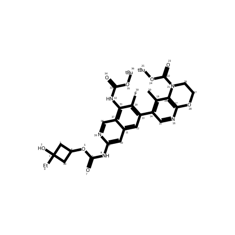 CCC1(O)CC(OC(=O)Nc2cc3cc(-c4cnc5c(c4C)N(C(=O)OC(C)(C)C)CCO5)c(F)c(NC(=O)OC(C)(C)C)c3cn2)C1